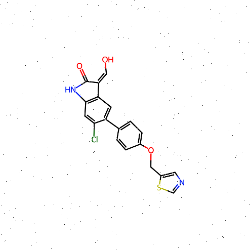 O=C1Nc2cc(Cl)c(-c3ccc(OCc4cncs4)cc3)cc2C1=CO